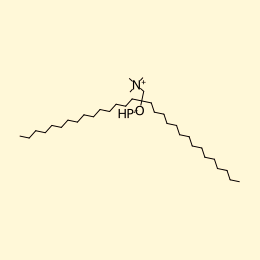 CCCCCCCCCCCCCCCC(CCCCCCCCCCCCCCC)(C[N+](C)(C)C)O[PH-]